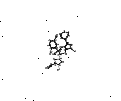 Cc1nn(-c2ccccc2)nc1CN([C@@H]1C[C@H](C)N(C#N)C1)S(=O)(=O)c1cc(Br)ccc1Br